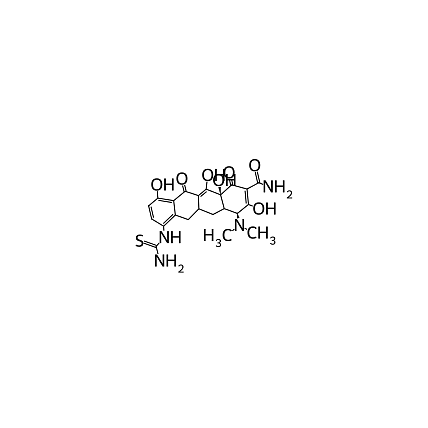 CN(C)[C@@H]1C(O)=C(C(N)=O)C(=O)[C@@]2(O)C(O)=C3C(=O)c4c(O)ccc(NC(N)=S)c4CC3CC12